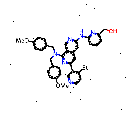 CCc1ccncc1-c1cc2cc(Nc3cccc(CO)n3)ncc2c(N(Cc2ccc(OC)cc2)Cc2ccc(OC)cc2)n1